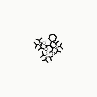 CC(C)[Si](OC(=O)/C(=C(\C(=O)O[Si](C(C)C)(C(C)C)C(C)C)[Si](C(C)C)(C(C)C)C(C)C)C1CCCCC1)(C(C)C)C(C)C